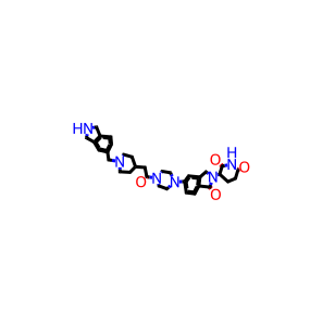 O=C1CCC(N2Cc3cc(N4CCN(C(=O)CC5CCN(Cc6ccc7c(c6)CNC7)CC5)CC4)ccc3C2=O)C(=O)N1